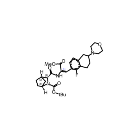 COC(=O)/C(=C\c1ccc2c(c1F)CCC(N1CCOCC1)C2)NC(=O)[C@@H]1[C@H]2CC[C@H](C2)N1C(=O)OC(C)(C)C